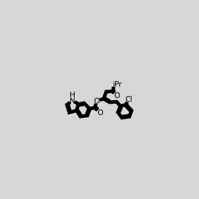 CC(C)C(=O)CC(=CCc1ccccc1Cl)OC(=O)c1ccc2cc[nH]c2c1